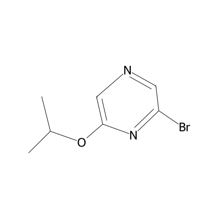 CC(C)Oc1cncc(Br)n1